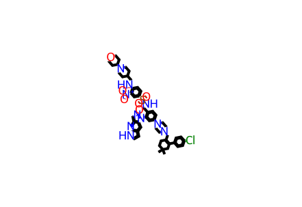 CC1(C)CCC(CN2CCN(c3ccc(C(=O)NS(=O)(=O)c4ccc(NCC5CCN(C6CCOCC6)CC5)c([N+](=O)[O-])c4)c(-n4ncc5nc6[nH]ccc6cc54)c3)CC2)=C(c2ccc(Cl)cc2)C1